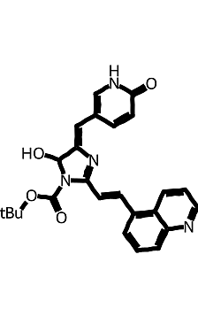 CC(C)(C)OC(=O)N1C(/C=C/c2cccc3ncccc23)=NC(=C\c2ccc(=O)[nH]c2)/C1O